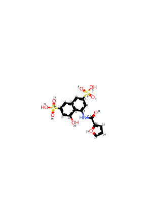 O=C(Nc1cc(S(=O)(=O)O)cc2cc(S(=O)(=O)O)cc(O)c12)c1ccco1